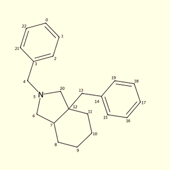 c1ccc(CN2CC3CCCCC3(Cc3ccccc3)C2)cc1